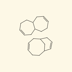 C1=CCC2CC=CC(CC1)C2.C1=CCC2CCC=CCC2CC1